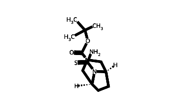 CC(C)(C)OC(=O)N1C[C@H]2CC[C@@H](C1)N2C(N)=S